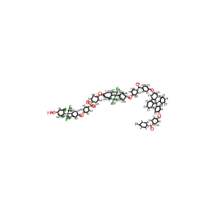 O=C(c1ccc(F)cc1)c1ccc(Oc2ccc(C(c3ccccc3)(c3ccccc3)c3ccc(Oc4ccc(C(=O)c5ccc(Oc6ccc(C(c7ccc(Oc8ccc(S(=O)(=O)c9ccc(Oc%10ccc(C(c%11ccc(O)cc%11)(C(F)(F)F)C(F)(F)F)cc%10)cc9)cc8)cc7)(C(F)(F)F)C(F)(F)F)cc6)cc5)cc4)cc3)cc2)cc1